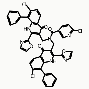 O=C(c1ccc(Cl)nc1)N(Cc1c(-c2ncco2)[nH]c2c(-c3ccccc3)c(Cl)ccc2c1=O)Cc1c(-c2ncco2)[nH]c2c(-c3ccccc3)c(Cl)ccc2c1=O